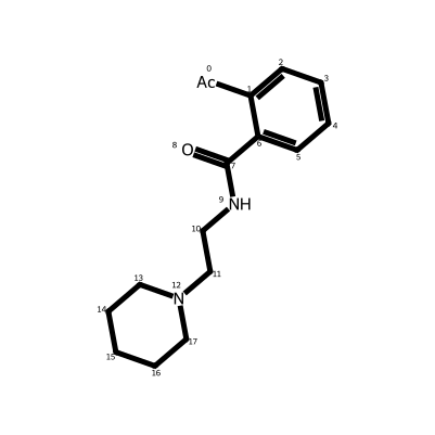 CC(=O)c1ccccc1C(=O)NCCN1CCCCC1